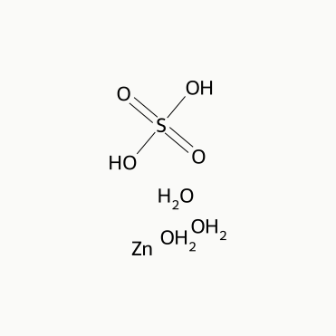 O.O.O.O=S(=O)(O)O.[Zn]